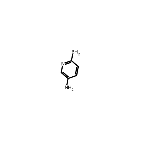 Bc1ccc(N)cn1